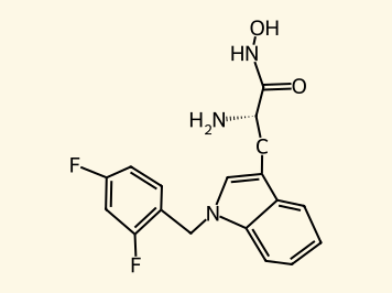 N[C@@H](Cc1cn(Cc2ccc(F)cc2F)c2ccccc12)C(=O)NO